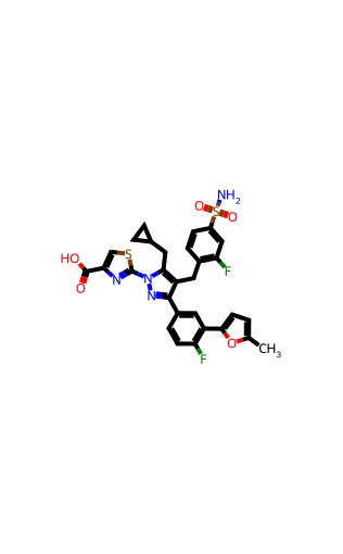 Cc1ccc(-c2cc(-c3nn(-c4nc(C(=O)O)cs4)c(CC4CC4)c3Cc3ccc(S(N)(=O)=O)cc3F)ccc2F)o1